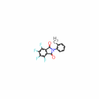 Cc1ccccc1N1C(=O)c2c(F)c(F)c(F)c(F)c2C1=O